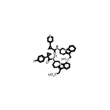 CCN(C(=O)C1(c2ccc(F)cc2)CC1)[C@@H]1CCc2c(CC(=O)O)c3ccccc3n2C1.CN(C(=O)C1CC1c1ccncc1)[C@@H]1CCc2c(CC(=O)O)c3ccccc3n2C1